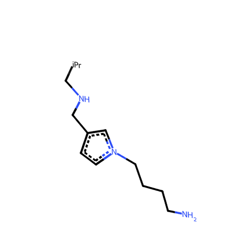 CC(C)CNCc1ccn(CCCCN)c1